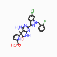 CC1(c2cccc(C(=O)O)n2)C(=O)Nc2nc(-c3nn(Cc4ccccc4F)c4cc(Cl)ccc34)nc(N)c21